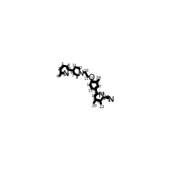 Cc1cccc(C2CCN(CCOc3ccc(-c4cc(C)c(C)c(C#N)n4)cc3C)CC2)n1